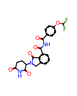 O=C1CCC(N2Cc3cccc(C(=O)NC(=O)c4ccc(OC(F)F)cc4)c3C2=O)C(=O)N1